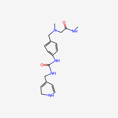 CNC(=O)CN(C)Cc1ccc(NC(=O)NCC2=CCNC=C2)cc1